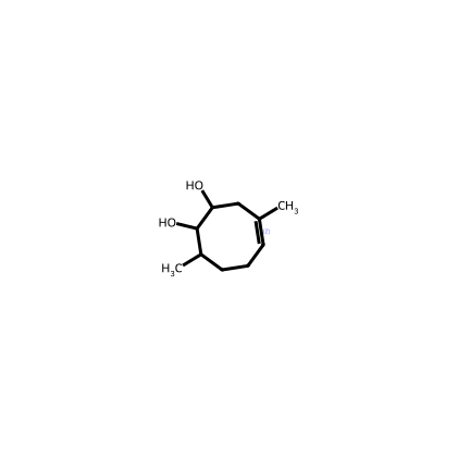 C/C1=C/CCC(C)C(O)C(O)C1